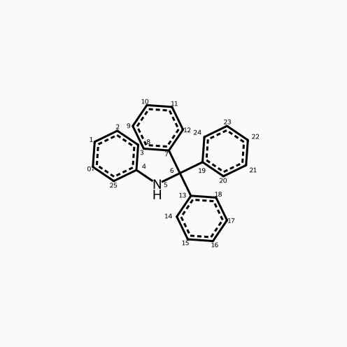 [c]1cccc(NC(c2ccccc2)(c2ccccc2)c2ccccc2)c1